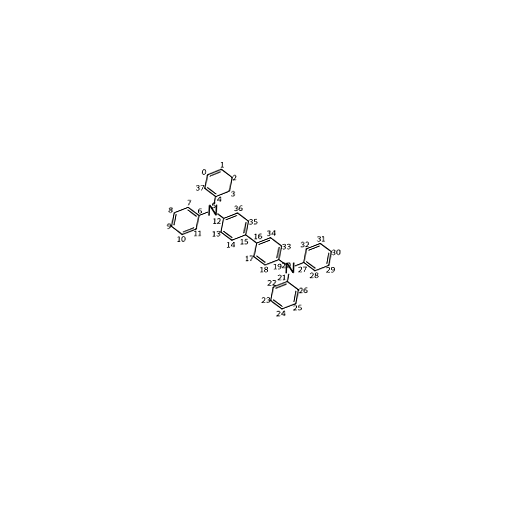 C1=CCCC(N(c2ccccc2)c2ccc(-c3ccc(N(c4ccccc4)c4ccccc4)cc3)cc2)=C1